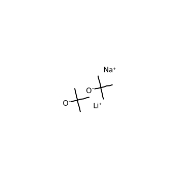 CC(C)(C)[O-].CC(C)(C)[O-].[Li+].[Na+]